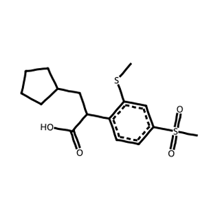 CSc1cc(S(C)(=O)=O)ccc1C(CC1CCCC1)C(=O)O